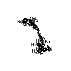 Cc1ncsc1-c1ccc([C@@H](CN(C)C)NC(=O)[C@@H]2C[C@@H](O)CN2C(=O)C(NC(=O)COCCCCCOc2ccc(C(=O)N[C@H]3C(C)(C)[C@H](Oc4ccc(C#N)c(Cl)c4)C3(C)C)cc2)C(C)(C)C)cc1